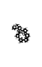 CC1(C)c2ccccc2-c2c1ccc1c(-c3cccc4c3oc3ccccc34)nc(-c3cccc(-c4cccc(-c5ccccc5)c4)c3)nc21